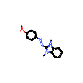 COc1ccc(/N=N/c2n(C)c3ccccc3[n+]2C)cc1